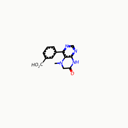 CN1CC(=O)Nc2ncnc(-c3cccc(C(=O)O)c3)c21